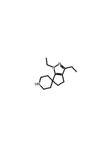 CCc1nn(CC)c2c1CCC21CCNCC1